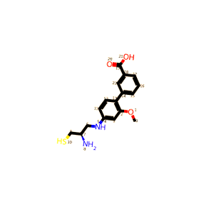 COc1cc(NC[C@@H](N)CS)ccc1-c1cccc(C(=O)O)c1